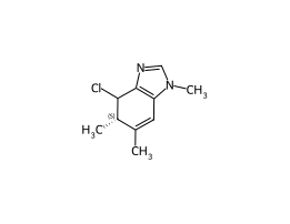 CC1=Cc2c(ncn2C)C(Cl)[C@H]1C